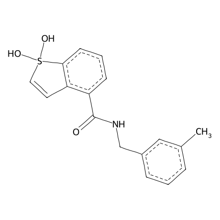 Cc1cccc(CNC(=O)c2cccc3c2C=CS3(O)O)c1